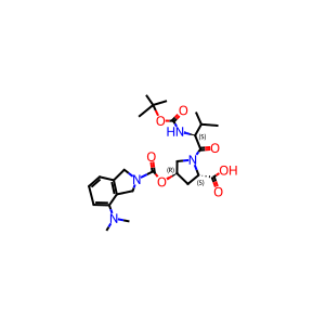 CC(C)[C@H](NC(=O)OC(C)(C)C)C(=O)N1C[C@H](OC(=O)N2Cc3cccc(N(C)C)c3C2)C[C@H]1C(=O)O